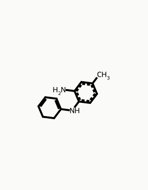 Cc1ccc(NC2=CC=CCC2)c(N)c1